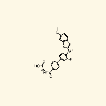 COc1ccc2nc(Nc3ccc(-c4ccc(C(=O)[C@@H]5C[C@H]5C(=O)O)cc4)cc3F)sc2c1